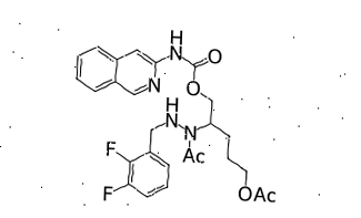 CC(=O)OCCCC(COC(=O)Nc1cc2ccccc2cn1)N(NCc1cccc(F)c1F)C(C)=O